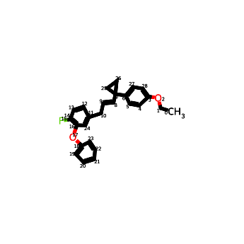 CCOc1ccc(C2(/C=C/Cc3ccc(F)c(Oc4ccccc4)c3)CC2)cc1